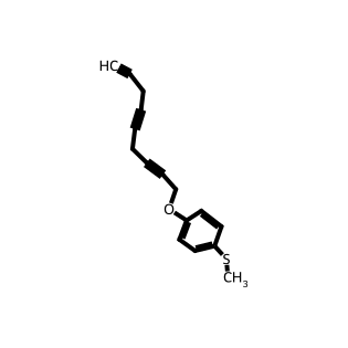 C#CCC#CCC#CCOc1ccc(SC)cc1